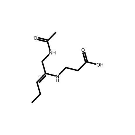 CC/C=C(/CNC(C)=O)NCCC(=O)O